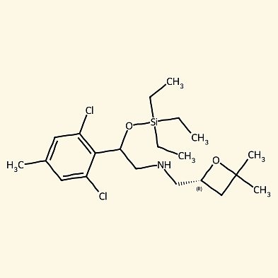 CC[Si](CC)(CC)OC(CNC[C@H]1CC(C)(C)O1)c1c(Cl)cc(C)cc1Cl